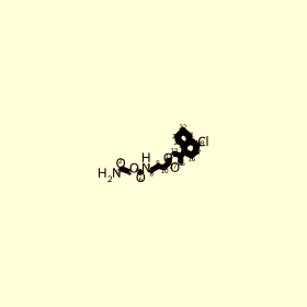 NC(=O)COC(=O)NCCCC1OCC(c2ccc(Cl)c3ccccc23)CO1